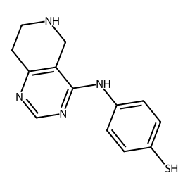 Sc1ccc(Nc2ncnc3c2CNCC3)cc1